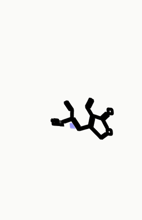 C=CC1=C(/C=C(\C=C)C(C)(C)C)COC1=O